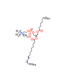 CCCCCC/C=C\C=C\CCCCCCCC(=O)O[C@H](COC(=O)CCCCCCCCCCCCCCC)COP(=O)(O)OCC[N+](C)(C)C